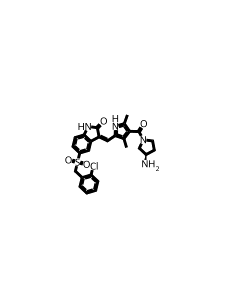 Cc1[nH]c(/C=C2\C(=O)Nc3ccc(S(=O)(=O)Cc4ccccc4Cl)cc32)c(C)c1C(=O)N1CC[C@@H](N)C1